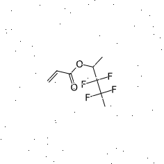 C=CC(=O)OC(C)C(F)(F)C(C)(F)F